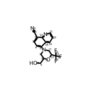 N#Cc1ccc(N2CC(CO)OC(C(F)(F)F)C2)c2cccnc12